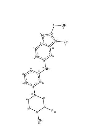 CC(C)n1c(CO)nc2cnc(Nc3ccnc(N4CCC(O)C(F)C4)n3)cc21